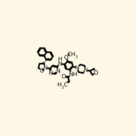 C=CC(=O)Nc1cc(Nc2cc(N3OCC[C@@H]3c3cccc4ccccc34)ncn2)c(OC)cc1N1CCN(C2COC2)CC1